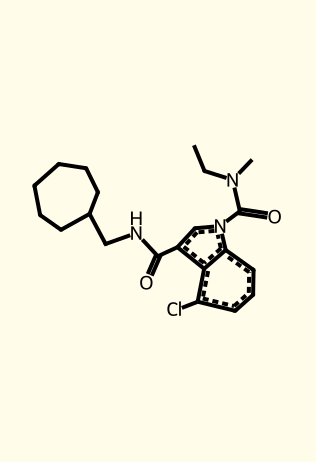 CCN(C)C(=O)n1cc(C(=O)NCC2CCCCCC2)c2c(Cl)cccc21